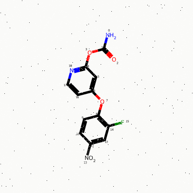 NC(=O)Oc1cc(Oc2ccc([N+](=O)[O-])cc2F)ccn1